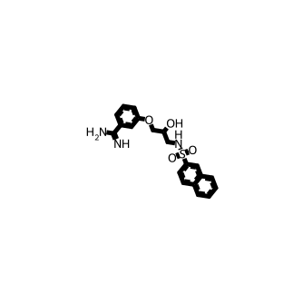 N=C(N)c1cccc(OCC(O)CNS(=O)(=O)c2ccc3ccccc3c2)c1